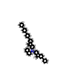 CC1(C)c2cc(-c3ccccc3)ccc2-c2ccc(N(c3ccc4c(c3)C(C)(C)c3cc(-c5ccc(-c6ccc(-c7ccccc7)cc6)cc5)ccc3-4)c3cccc4ccccc34)cc21